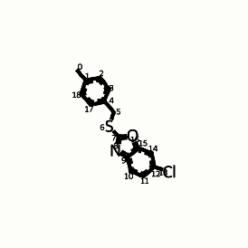 Cc1ccc(CSc2nc3ccc(Cl)cc3o2)cc1